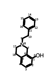 Oc1cccc2c1CN(CCc1ccccc1)CC2